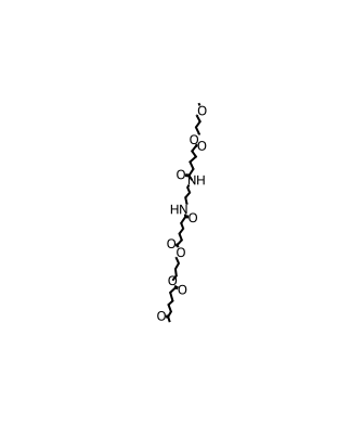 COCCCCOC(=O)CCCCC(=O)NCCCCNC(=O)CCCCC(=O)OCCCCOC(=O)CCCCC(C)=O